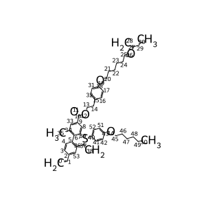 C=Cc1ccc(-c2ccc(C(=O)OCCc3ccc(OCCCCCCOC(=C)CC)cc3)cc2C)c(C(=C)Sc2ccc(OCCCCCC)cc2)c1